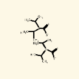 CC(C)N(C(=S)[S-])C(C)C.CC(C)N(C(=S)[S-])C(C)C.[Ni+2]